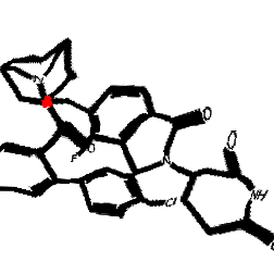 O=C1CCC(N2Cc3c(ccc(CN4C5CC4CN(C(=O)c4ccccc4-c4ccc(Cl)cc4)C5)c3F)C2=O)C(=O)N1